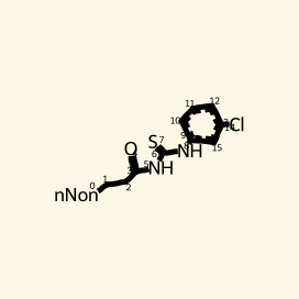 CCCCCCCCCCCC(=O)NC(=S)Nc1cccc(Cl)c1